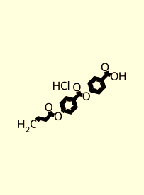 C=CCC(=O)Oc1ccc(C(=O)Oc2ccc(C(=O)O)cc2)cc1.Cl